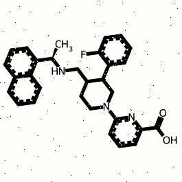 C[C@@H](NCC1CCN(c2cccc(C(=O)O)n2)CC1c1ccccc1F)c1cccc2ccccc12